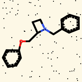 c1ccc(CN2CCC2COc2ccccc2)cc1